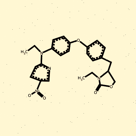 CCN(c1ccc(Oc2ccc(CC3COC(=O)N3CC)cc2)cc1)c1ccc([N+](=O)[O-])cn1